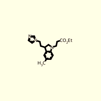 CCOC(=O)CCN1CC(CCn2ccnc2)c2cc(C)ccc21